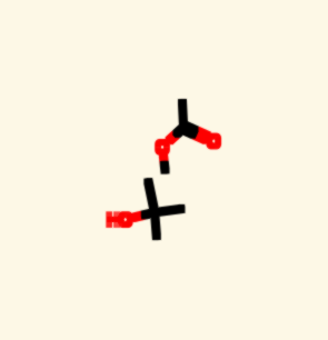 CC(C)(C)O.COC(C)=O